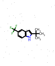 CC(C)(C)c1cc2cc(C(F)(F)F)ccc2[nH]1